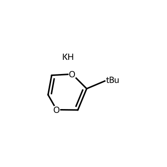 CC(C)(C)C1=COC=CO1.[KH]